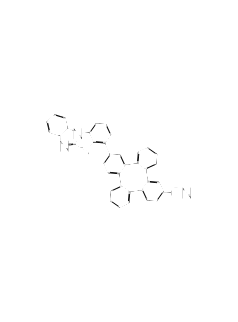 N#Cc1ccc2c(c1)-c1ccccc1-c1cc(-c3cccc4c3SC3=NC5C=CC=CC5N34)ccc1-c1ccccc1-2